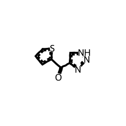 O=C(c1c[nH]nn1)c1cccs1